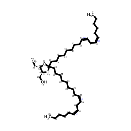 CCCCC/C=C\C/C=C\CCCCCCCCC1(CCCCCCCC/C=C\C/C=C\CCCCC)O[C@@H](CO)[C@H](CO)O1